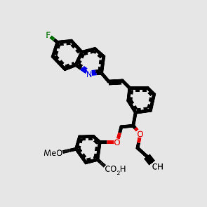 C#CCOC(COc1ccc(OC)cc1C(=O)O)c1cccc(/C=C/c2ccc3cc(F)ccc3n2)c1